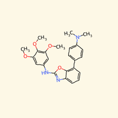 COc1cc(Nc2nc3cccc(-c4ccc(N(C)C)cc4)c3o2)cc(OC)c1OC